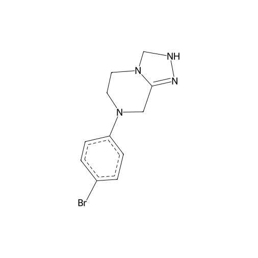 Brc1ccc(N2CCN3CNN=C3C2)cc1